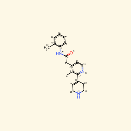 Cc1c(CC(=O)Nc2ccccc2C(F)(F)F)ccnc1C1=CCNCC1